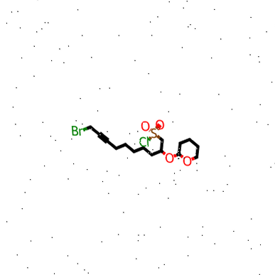 O=S(=O)(Cl)CC(CCCCCC#CCBr)OC1CCCCO1